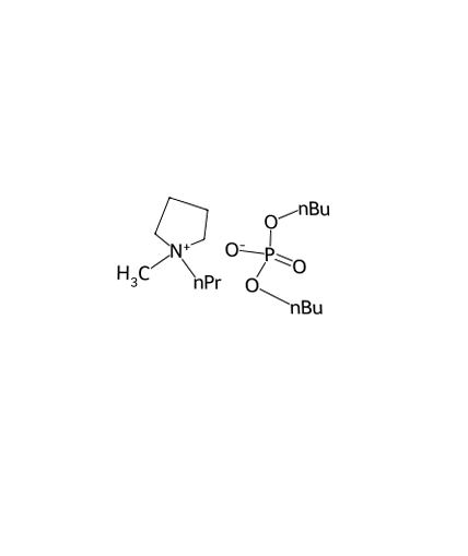 CCCCOP(=O)([O-])OCCCC.CCC[N+]1(C)CCCC1